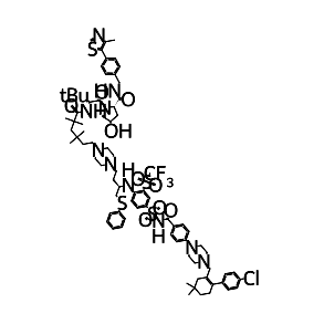 Cc1ncsc1-c1ccc(CNC(=O)[C@@H]2C[C@@H](O)CN2C(=O)[C@@H](NC(=O)C(C)(C)CC(C)(C)CCN2CCN(CC[C@H](CSc3ccccc3)Nc3ccc(S(=O)(=O)NC(=O)c4ccc(N5CCN(CC6=C(c7ccc(Cl)cc7)CCC(C)(C)C6)CC5)cc4)cc3S(=O)(=O)C(F)(F)F)CC2)C(C)(C)C)cc1